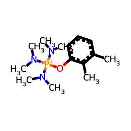 Cc1cccc(O[P+](N(C)C)(N(C)C)N(C)C)c1C